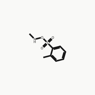 CNOS(=O)(=O)c1ccccc1C